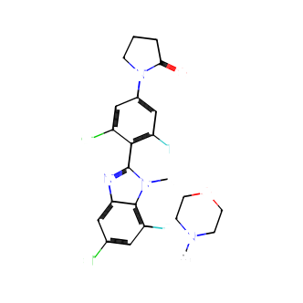 CC(=O)N1CCO[C@@H](Cn2c(-c3c(F)cc(N4CCCC4=O)cc3Cl)nc3cc(Cl)cc(F)c32)C1